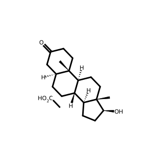 CC(=O)O.C[C@]12CCC(=O)C[C@@H]1CC[C@@H]1[C@@H]2CC[C@]2(C)[C@@H](O)CC[C@@H]12